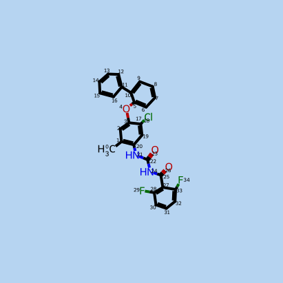 Cc1cc(Oc2ccccc2-c2ccccc2)c(Cl)cc1NC(=O)NC(=O)c1c(F)cccc1F